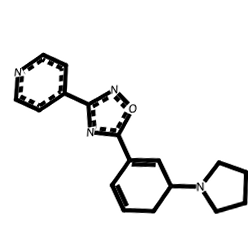 C1=CC(c2nc(-c3ccncc3)no2)=CC(N2CCCC2)C1